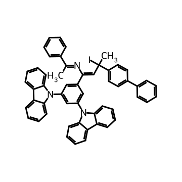 C/C(=N\C(=C/C(C)(I)c1ccc(-c2ccccc2)cc1)c1cc(-n2c3ccccc3c3ccccc32)cc(-n2c3ccccc3c3ccccc32)c1)c1ccccc1